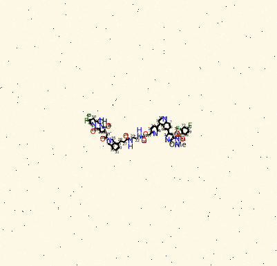 COc1ncc(-c2ccc3nccc(-c4ccc(COC(=O)NCCNC(=O)CCc5cccc6c5CN(C(=O)C[C@@H]5C[C@@H](C(=O)N7CC(F)(F)C[C@H]7C)NC5=O)C6)nc4)c3c2)cc1NS(=O)(=O)c1ccc(F)cc1F